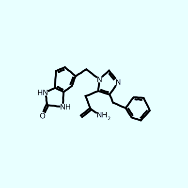 C=C(N)Cc1c(Cc2ccccc2)ncn1Cc1ccc2[nH]c(=O)[nH]c2c1